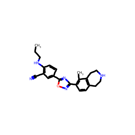 CCCNc1ccc(-c2nc(-c3ccc4c(c3C)CCNCC4)no2)cc1C#N